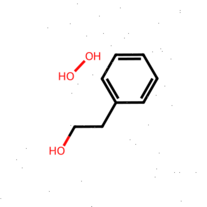 OCCc1ccccc1.OO